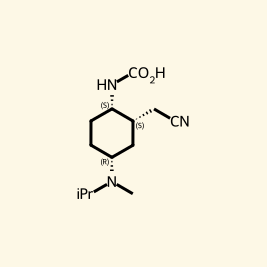 CC(C)N(C)[C@@H]1CC[C@H](NC(=O)O)[C@H](CC#N)C1